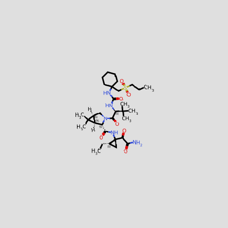 CCCS(=O)(=O)CC1(NC(=O)N[C@H](C(=O)N2C[C@H]3[C@@H]([C@H]2C(=O)NC2(C(=O)C(N)=O)C[C@@H]2CC)C3(C)C)C(C)(C)C)CCCCC1